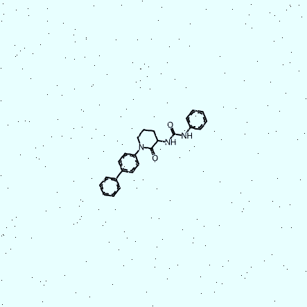 O=C(Nc1ccccc1)NC1CCCN(c2ccc(-c3ccccc3)cc2)C1=O